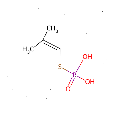 CC(C)=CSP(=O)(O)O